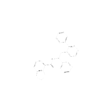 O=C(NC(Cc1ccccc1-c1ccccc1)c1cccnc1)c1cccc2c1OCO2